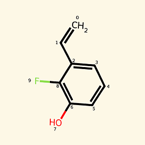 C=Cc1cccc(O)c1F